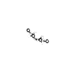 Clc1cc(OBOc2cc(Cl)c(OCc3ccccc3)c(Cl)c2)cc(Cl)c1OCc1ccccc1